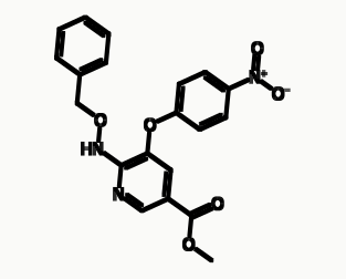 COC(=O)c1cnc(NOCc2ccccc2)c(Oc2ccc([N+](=O)[O-])cc2)c1